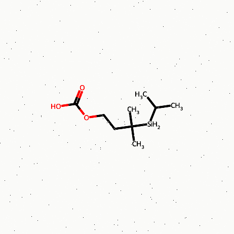 CC(C)[SiH2]C(C)(C)CCOC(=O)O